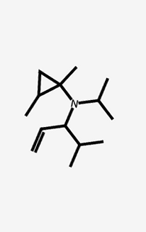 C=CC(C(C)C)N(C(C)C)C1(C)CC1C